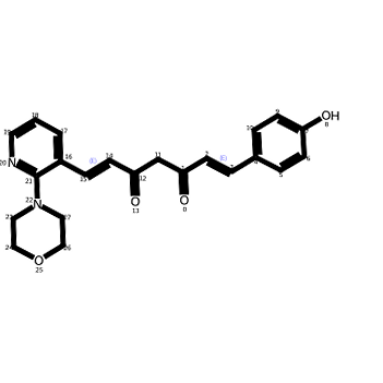 O=C(/C=C/c1ccc(O)cc1)CC(=O)/C=C/c1cccnc1N1CCOCC1